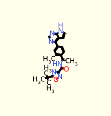 Cc1cc(-c2ncnc3[nH][c]cc23)ccc1[C@@H](C)NC(=O)c1noc(C(C)(C)C)n1